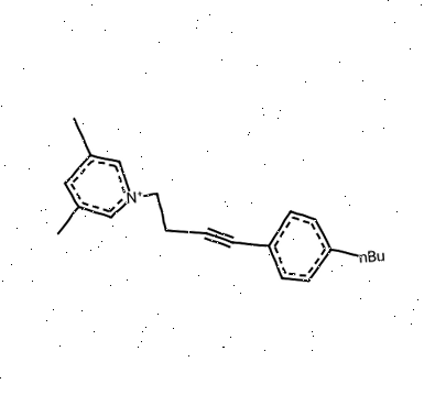 CCCCc1ccc(C#CCC[n+]2cc(C)cc(C)c2)cc1